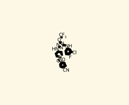 N#Cc1ccc(S(=O)(=O)N2CCC(Nc3nc(Nc4ccc(F)c(Cl)c4)nc(OCC(F)(F)F)n3)CC2)cc1